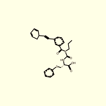 CCCN(C(=O)N[C@@H](CSc1ccccc1)C(=O)O)C(=O)c1cccc(C#CC2C=CC=CC2)c1